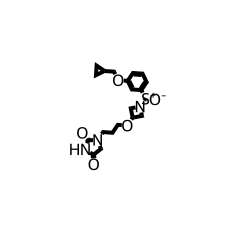 O=C1CN(CCCOC2CN([S+]([O-])c3cccc(OCC4CC4)c3)C2)C(=O)N1